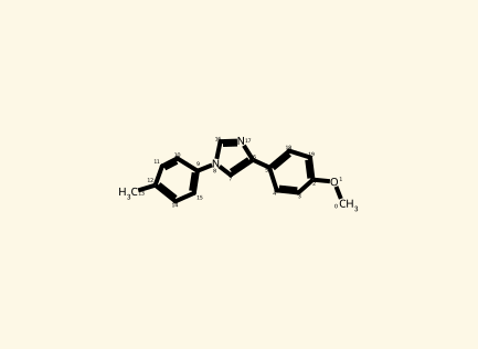 COc1ccc(-c2cn(-c3[c]cc(C)cc3)cn2)cc1